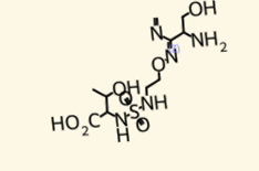 C=N/C(=N\OCCNS(=O)(=O)NC(C(=O)O)C(C)O)C(N)CO